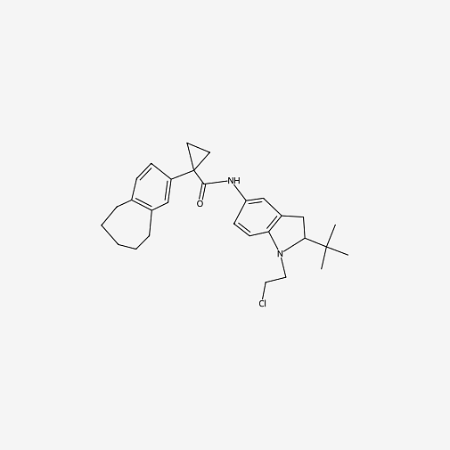 CC(C)(C)C1Cc2cc(NC(=O)C3(c4ccc5c(c4)CCCCC5)CC3)ccc2N1CCCl